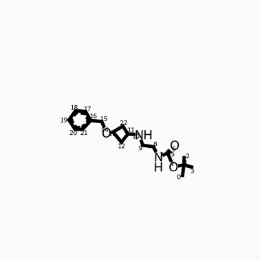 CC(C)(C)OC(=O)NCCNC1CC(OCc2ccccc2)C1